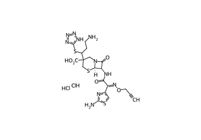 C#CCON=C(C(=O)NC1C(=O)N2CC(C(=O)O)(C(CCN)Sc3nnn[nH]3)CS[C@H]12)c1csc(N)n1.Cl.Cl